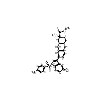 COC(=O)C1(C)CCCC(Nc2nc(-c3cn(S(=O)(=O)c4ccc(C)cc4)c4ncc(Cl)cc34)ncc2F)C1